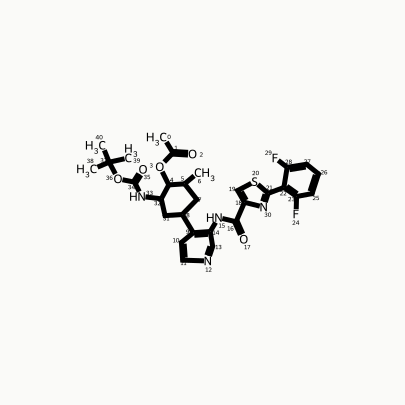 CC(=O)OC1C(C)CC(c2ccncc2NC(=O)c2csc(-c3c(F)cccc3F)n2)CC1NC(=O)OC(C)(C)C